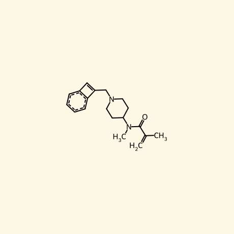 C=C(C)C(=O)N(C)C1CCN(CC2=Cc3ccccc32)CC1